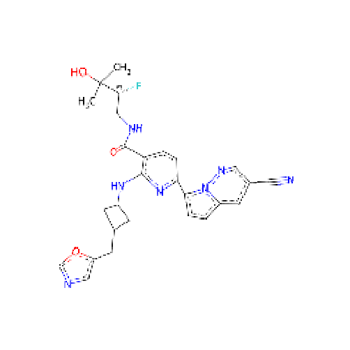 CC(C)(O)[C@H](F)CNC(=O)c1ccc(-c2ccc3cc(C#N)cnn23)nc1NC1CC(Cc2cnco2)C1